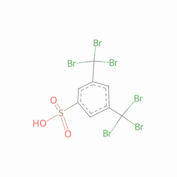 O=S(=O)(O)c1cc(C(Br)(Br)Br)cc(C(Br)(Br)Br)c1